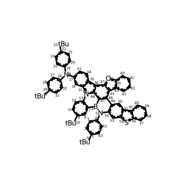 CC(C)(C)c1ccc(N2B3c4cc(C(C)(C)C)ccc4-n4c5cc(N(c6ccc(C(C)(C)C)cc6)c6ccc(C(C)(C)C)cc6)ccc5c5c6oc7ccccc7c6c(c3c54)-c3cc4c(cc32)sc2ccccc24)cc1